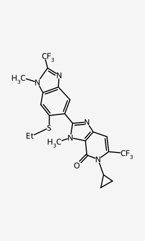 CCSc1cc2c(cc1-c1nc3cc(C(F)(F)F)n(C4CC4)c(=O)c3n1C)nc(C(F)(F)F)n2C